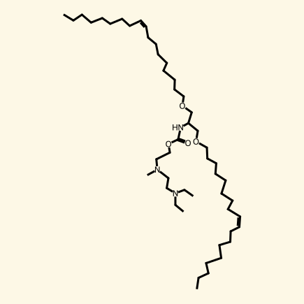 CCCCCCCC/C=C\CCCCCCCCOCC(COCCCCCCCC/C=C\CCCCCCCC)NC(=O)OCCN(C)CCN(CC)CC